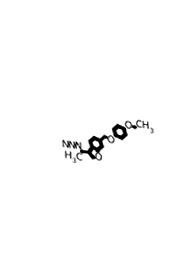 CCOc1ccc(OCc2ccc3c(C(C)N=[N+]=[N-])coc3c2)cc1